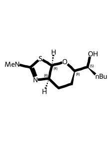 CCCC[C@H](O)[C@H]1CC[C@H]2N=C(NC)S[C@H]2O1